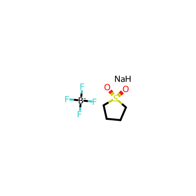 F[B-](F)(F)F.O=S1(=O)CCCC1.[NaH]